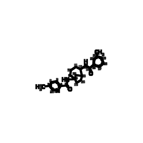 Cc1ccc(C(=O)NC23CCCC(NC(=O)c4cccc(C)c4)C(CC2)C3)nc1